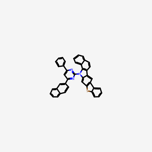 c1ccc(-c2cc(-c3ccc4ccccc4c3)nc(-n3c4cc5sc6ccccc6c5cc4c4ccc5ccccc5c43)n2)cc1